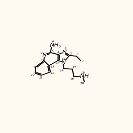 CCc1nc2c(N)nc3ccccc3c2n1CCCNC